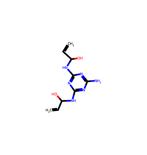 C=CC(O)Nc1nc(N)nc(NC(O)C=C)n1